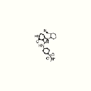 CN(C)S(=O)(=O)c1ccc(Nc2nn(C3CCCCC3C#N)c3cc[nH]c(=O)c23)cc1